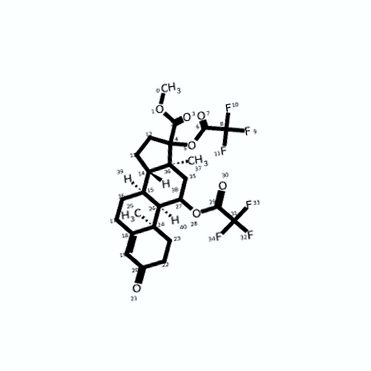 COC(=O)C1(OC(=O)C(F)(F)F)CC[C@H]2[C@@H]3CCC4=CC(=O)CC[C@]4(C)[C@@H]3C(OC(=O)C(F)(F)F)C[C@@]21C